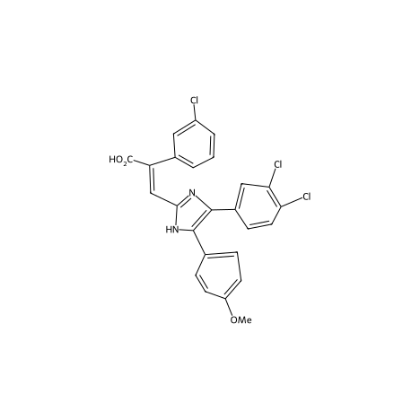 COc1ccc(-c2[nH]c(C=C(C(=O)O)c3cccc(Cl)c3)nc2-c2ccc(Cl)c(Cl)c2)cc1